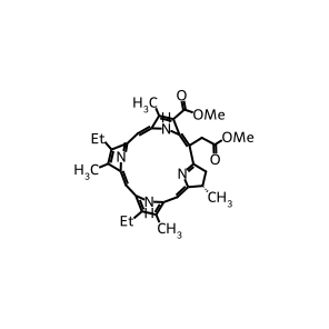 CCC1=C(C)c2cc3[nH]c(cc4nc(c(CC(=O)OC)c5[nH]c(cc1n2)c(C)c5C(=O)OC)C[C@@H]4C)c(C)c3CC